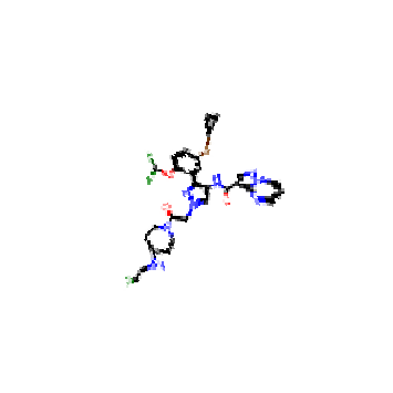 O=C(Nc1cn(CC(=O)N2CCC(NCCF)CC2)nc1-c1cc(SC2CC2)ccc1OC(F)F)c1cnn2cccnc12